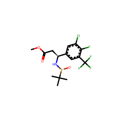 COC(=O)C[C@H](N[S+]([O-])C(C)(C)C)c1cc(Cl)c(F)c(C(F)(F)F)c1